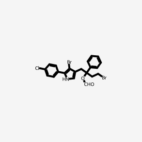 O=COC(CCBr)(Cc1c[nH]c(-c2ccc(Cl)cc2)c1Br)c1ccccc1